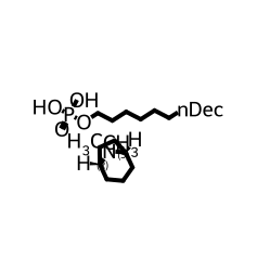 CCCCCCCCCCCCCCCCOP(=O)(O)O.C[N+]1(C)[C@@H]2CCC[C@H]1CC2